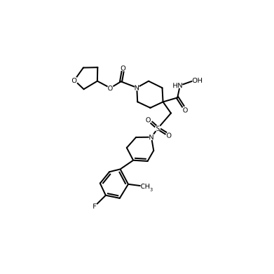 Cc1cc(F)ccc1C1=CCN(S(=O)(=O)CC2(C(=O)NO)CCN(C(=O)OC3CCOC3)CC2)CC1